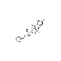 O=C(NCCc1ccccc1)Oc1cnn(-c2ccc(F)cc2)c1C(F)(F)F